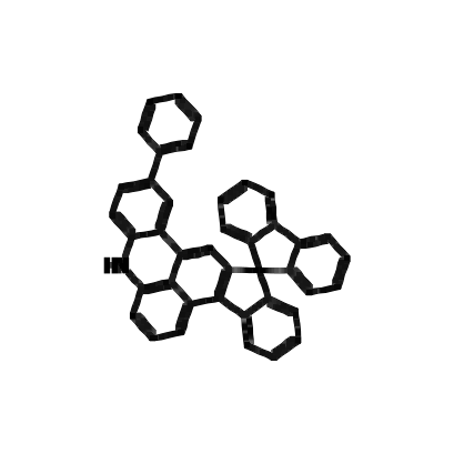 c1ccc(-c2ccc3c(c2)-c2cc4c(c5cccc(c25)N3)-c2ccccc2C42c3ccccc3-c3ccccc32)cc1